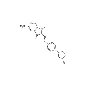 CN1c2ccc(N)cc2N(C)C1N=Nc1ccc(N2CCC(O)C2)cc1